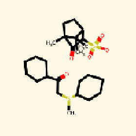 CC12CCC(C(S(=O)(=O)[O-])C1=O)C2(C)C.C[S+](CC(=O)C1CCCCC1)C1CCCCC1